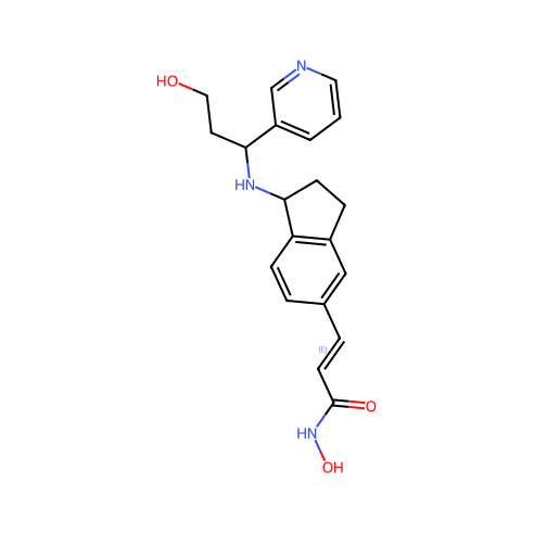 O=C(/C=C/c1ccc2c(c1)CCC2NC(CCO)c1cccnc1)NO